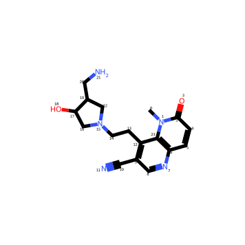 Cn1c(=O)ccc2ncc(C#N)c(CCN3CC(O)C(CN)C3)c21